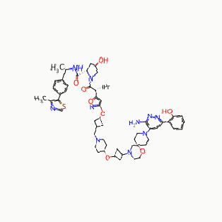 Cc1ncsc1-c1ccc([C@H](C)NC(=O)[C@@H]2C[C@@H](O)CN2C(=O)[C@@H](c2cc(OC3CC(CN4CCC(OC5CC(N6CCOC7(CCN(c8cc(-c9ccccc9O)nnc8N)CC7)C6)C5)CC4)C3)no2)C(C)C)cc1